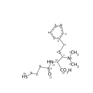 CN(C)C(SCc1ccccc1)C(NC(=O)CCCS)C(=O)O